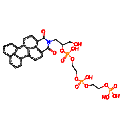 O=C1c2ccc3c4cccc5cccc(c6ccc(c2c36)C(=O)N1CC(CO)OP(=O)(O)OCCOP(=O)(O)OCCOP(=O)(O)O)c54